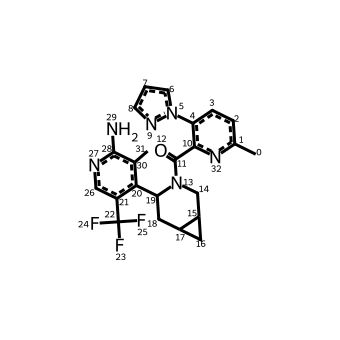 Cc1ccc(-n2cccn2)c(C(=O)N2CC3CC3CC2c2c(C(F)(F)F)cnc(N)c2C)n1